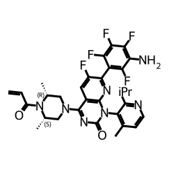 C=CC(=O)N1[C@H](C)CN(c2nc(=O)n(-c3c(C)ccnc3C(C)C)c3nc(-c4c(F)c(N)c(F)c(F)c4F)c(F)cc23)C[C@@H]1C